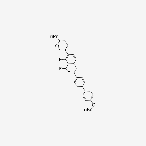 CCCCOc1ccc(-c2ccc(CCc3ccc(C4CCC(CCC)OC4)c(F)c3C(F)F)cc2)cc1